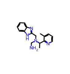 Cc1cccnc1C(C)N(CN)Cc1nc2ccccc2[nH]1